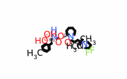 Cc1ccc(C[C@H](NC(=O)OC[C@@H]2CCCCCN2C(=O)C(C#N)CC(C)(C)N2CCC(F)(F)C2)B(O)O)cc1